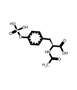 CC(=O)N[C@@H](Cc1ccc(OP(=O)(O)O)cc1)C(=O)O